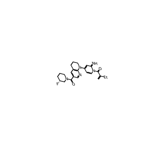 C=C(CC)C(=O)n1ccc(N2CCCc3cc(C(=O)N4CCC[C@@H](F)C4)cnc32)cc1=N